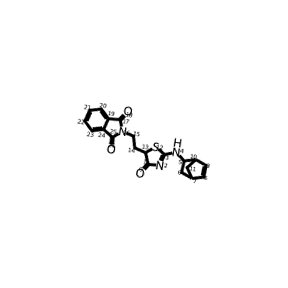 O=C1N=C(NC2CC3C=CC2C3)SC1CCN1C(=O)c2ccccc2C1=O